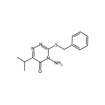 CC(C)c1nnc(SCc2ccccc2)n(N)c1=O